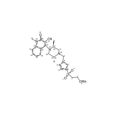 COCCS(=O)(=O)n1cc(CN2C[C@H](C)N(c3c(C#N)c(=O)n(C)c4ccccc34)C[C@H]2C)nn1